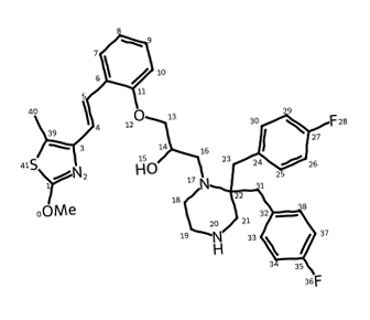 COc1nc(C=Cc2ccccc2OCC(O)CN2CCNCC2(Cc2ccc(F)cc2)Cc2ccc(F)cc2)c(C)s1